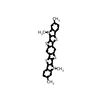 Cc1ccc2c3sc4c5cc6sc7c(sc8c9ccc(C)cc9n(C)c87)c6cc5sc4c3n(C)c2c1